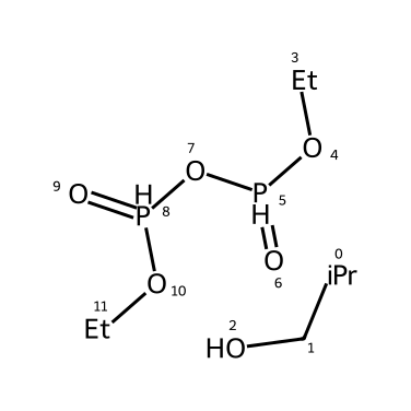 CC(C)CO.CCO[PH](=O)O[PH](=O)OCC